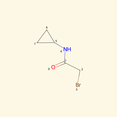 O=C(CBr)NC1CC1